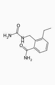 CCc1cccc(C(N)=O)c1CNC(N)=O